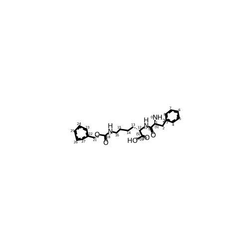 N[C@@H](Cc1ccccc1)C(=O)N[C@@H](CCCCNC(=O)OCc1ccccc1)C(=O)O